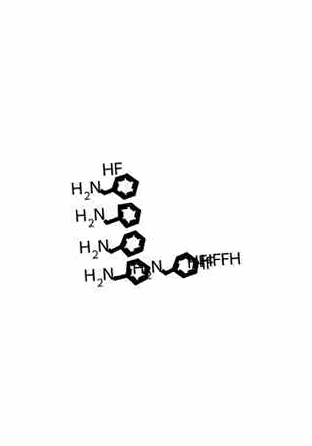 F.F.F.F.F.NCc1ccccc1.NCc1ccccc1.NCc1ccccc1.NCc1ccccc1.NCc1ccccc1